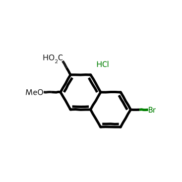 COc1cc2ccc(Br)cc2cc1C(=O)O.Cl